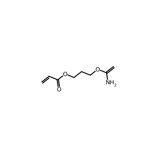 C=CC(=O)OCCCOC(=C)N